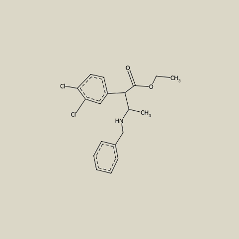 CCOC(=O)C(c1ccc(Cl)c(Cl)c1)C(C)NCc1ccccc1